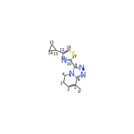 CC1=CCCn2c1nnc2-c1nc(C2CC2)cs1